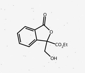 CCOC(=O)C1(CO)OC(=O)c2ccccc21